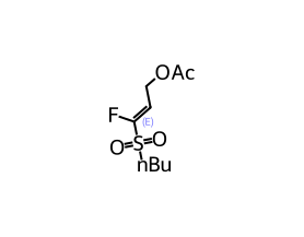 CCCCS(=O)(=O)/C(F)=C/COC(C)=O